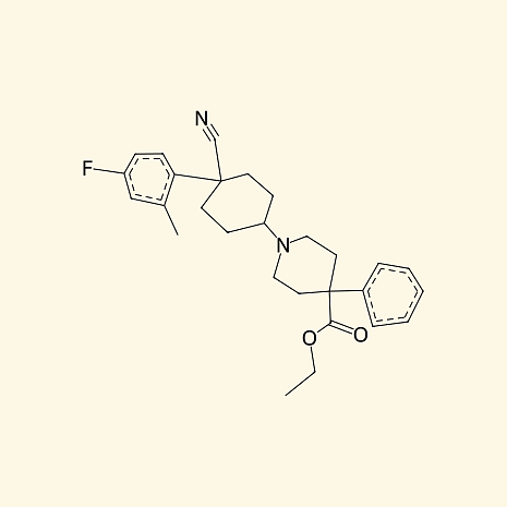 CCOC(=O)C1(c2ccccc2)CCN(C2CCC(C#N)(c3ccc(F)cc3C)CC2)CC1